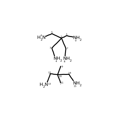 NCC(CN)(CN)CN.[CH2]C([CH2])(CN)CN